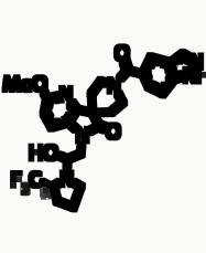 COc1ccc2c(n1)C1(CCN(C(=O)c3ccc4[nH]ncc4c3)CC1)C(=O)N2CC(O)N1CCC[C@H]1C(F)(F)F